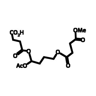 COC(=O)CCC(=O)OCCCC(OC(C)=O)OC(=O)CCC(=O)O